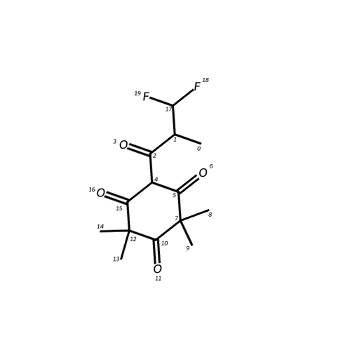 CC(C(=O)C1C(=O)C(C)(C)C(=O)C(C)(C)C1=O)C(F)F